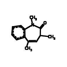 CC1=CC(C)C(=O)N(C)c2ccccc21